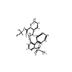 CC(C)(C)OC(=O)C1CNCCC1CNc1cccc(S(N)(=O)=O)c1-c1ccccc1